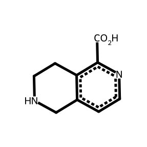 O=C(O)c1nccc2c1CCNC2